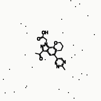 CC(=O)c1nn(CC(=O)O)c2c3c(c(-c4cnc(C)nc4)cc12)CCCO3